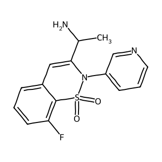 CC(N)C1=Cc2cccc(F)c2S(=O)(=O)N1c1cccnc1